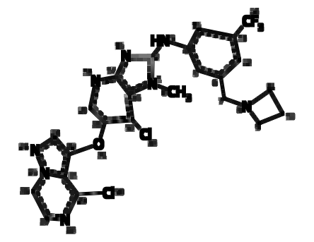 Cn1c(Nc2cc(CN3CCC3)cc(C(F)(F)F)c2)nc2ncc(Oc3cnn4ccnc(Cl)c34)c(Cl)c21